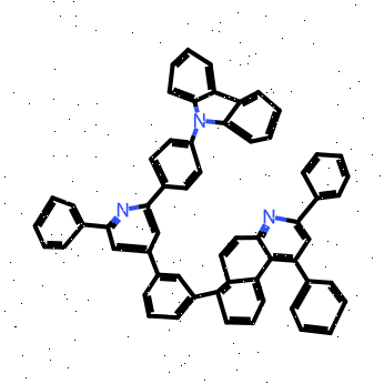 c1ccc(-c2cc(-c3cccc(-c4cccc5c4ccc4nc(-c6ccccc6)cc(-c6ccccc6)c45)c3)cc(-c3ccc(-n4c5ccccc5c5ccccc54)cc3)n2)cc1